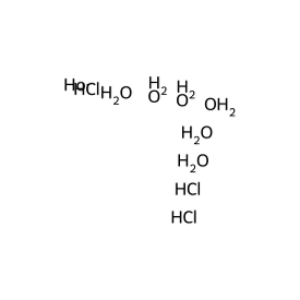 Cl.Cl.Cl.O.O.O.O.O.O.[Ho]